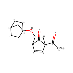 COC(=O)C12C=CC(C1=O)C(OC13CCC(CC1)C3)C2